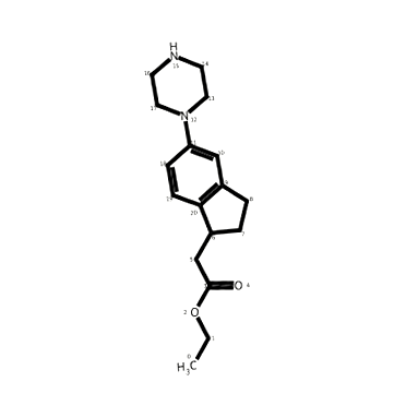 CCOC(=O)CC1CCc2cc(N3CCNCC3)ccc21